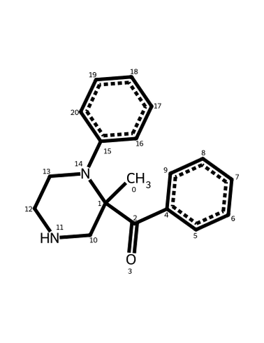 CC1(C(=O)c2ccccc2)CNCCN1c1ccccc1